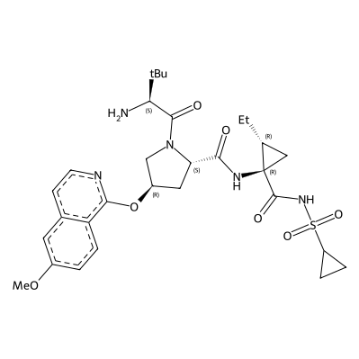 CC[C@@H]1C[C@]1(NC(=O)[C@@H]1C[C@@H](Oc2nccc3cc(OC)ccc23)CN1C(=O)[C@@H](N)C(C)(C)C)C(=O)NS(=O)(=O)C1CC1